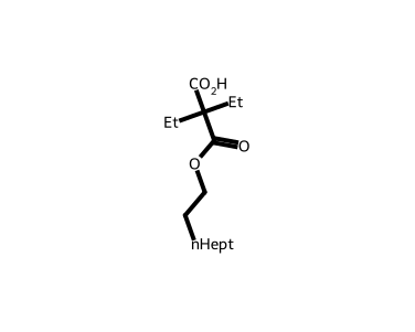 CCCCCCCCCOC(=O)C(CC)(CC)C(=O)O